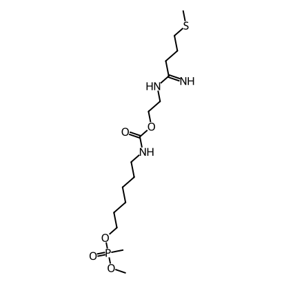 COP(C)(=O)OCCCCCCNC(=O)OCCNC(=N)CCCSC